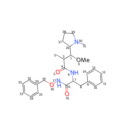 COC(C(C)C(=O)NC(Cc1ccccc1)C(=O)NOCc1ccccc1)C1CCCN1C